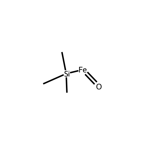 C[Si](C)(C)[Fe]=[O]